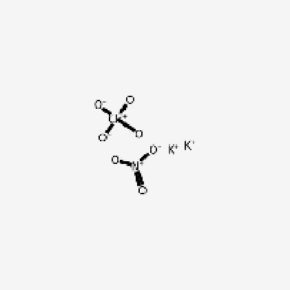 O=[N+]([O-])[O-].[K+].[K+].[O-][Cl+3]([O-])([O-])[O-]